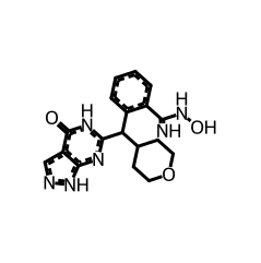 N=C(NO)c1ccccc1C(c1nc2[nH]ncc2c(=O)[nH]1)C1CCOCC1